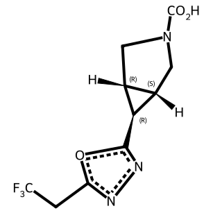 O=C(O)N1C[C@@H]2[C@H](C1)[C@H]2c1nnc(CC(F)(F)F)o1